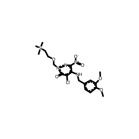 COc1ccc(CNc2c([N+](=O)[O-])nn(COCC[Si](C)(C)C)c(=O)c2Cl)cc1OC